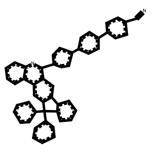 N#Cc1ccc(-c2ccc(-c3ccc(-c4nc5ccccc5c5cc6c(cc45)-c4ccccc4C6(c4ccccc4)c4ccccc4)cc3)cc2)cc1